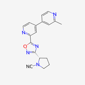 Cc1cc(-c2ccnc(-c3nc([C@@H]4CCCN4C#N)no3)c2)ccn1